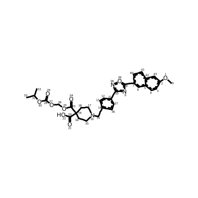 COc1ccc2cc(-c3nc(-c4ccc(CN5CCC(C(=O)O)(C(=O)OCOC(=O)OC(C)C)CC5)cc4)no3)ccc2c1